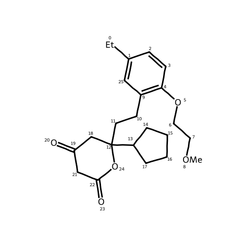 CCc1ccc(OCCOC)c(CCC2(C3CCCC3)CC(=O)CC(=O)O2)c1